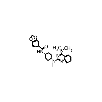 CN(C)c1nc(N[C@H]2CC[C@@H](NC(=O)c3ccc4c(c3)OCO4)CC2)nc2ccccc12